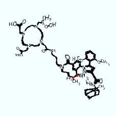 COc1cccc(OC)c1-c1cc(C(=O)NC2(C)C3CC4CC(C3)CC2C4)nn1-c1ccc(C(=O)N(CCCNC(=O)CN2CCN(CB(C)OO)CCN(CC(=O)O)CCN(CC(=O)O)CC2)CCCN(C)C)cc1C(C)C